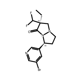 CC[C@]1(C(F)F)CN2CC[C@@H](c3cncc(Br)c3)N2C1=O